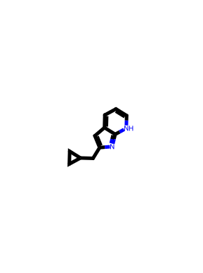 c1c[nH]c2nc(CC3CC3)cc-2c1